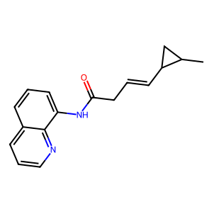 CC1CC1C=CCC(=O)Nc1cccc2cccnc12